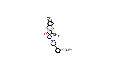 CCOC(=O)c1cccc(C2CCN([C@@H]3CC[C@@]4(C3)C(=O)N3Cc5cc(C(F)(F)F)ccc5OC3C4C)CC2)c1